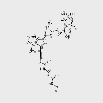 CCOC(=O)CONC(=O)CC#Cc1cn(C2CC(O)C(COP(=O)(O)OP(=O)(O)OP(=O)(O)O)O2)c2ncnc(N)c12